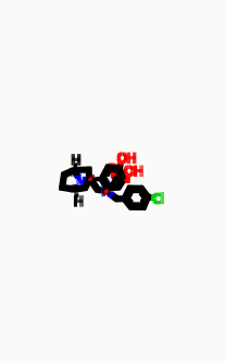 O=C(CO)N(CCN1[C@@H]2CC[C@H]1C[C@@H](c1cccc(O)c1)C2)Cc1ccc(Cl)cc1